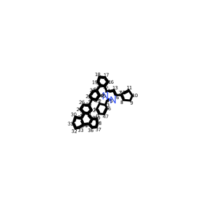 C1=CCC(c2nc(C3=CCCC=C3)cc(-c3ccccc3-c3ccc(-c4ccc5c6ccccc6c6ccccc6c5c4)cc3)n2)C=C1